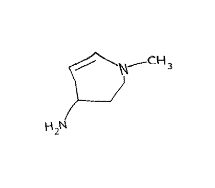 CN1C=CC(N)C1